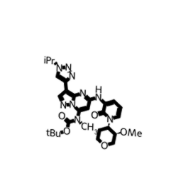 CO[C@@H]1COCC[C@@H]1n1cccc(Nc2cc(N(C)C(=O)OC(C)(C)C)n3ncc(-c4cn(C(C)C)nn4)c3n2)c1=O